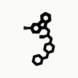 OC(CN1CCN(CC2CCCCC2)CC1)Cn1c2ccccc2c2cc(Br)ccc21